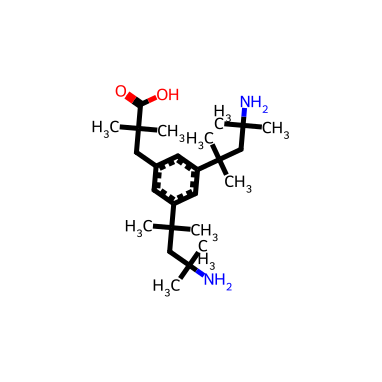 CC(C)(N)CC(C)(C)c1cc(CC(C)(C)C(=O)O)cc(C(C)(C)CC(C)(C)N)c1